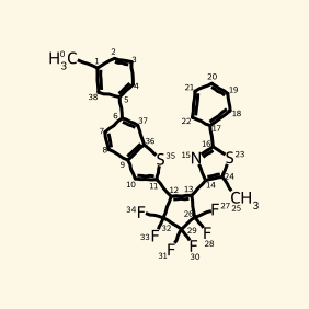 Cc1cccc(-c2ccc3cc(C4=C(c5nc(-c6ccccc6)sc5C)C(F)(F)C(F)(F)C4(F)F)sc3c2)c1